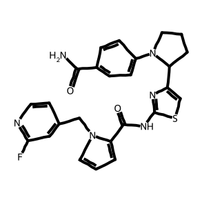 NC(=O)c1ccc(N2CCCC2c2csc(NC(=O)c3cccn3Cc3ccnc(F)c3)n2)cc1